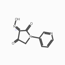 O=C1CN(c2cccnc2)C(=O)/C1=N\O